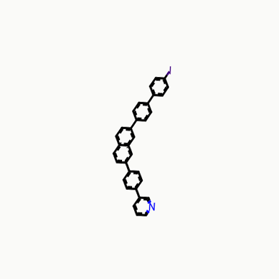 Ic1ccc(-c2ccc(-c3ccc4ccc(-c5ccc(-c6cccnc6)cc5)cc4c3)cc2)cc1